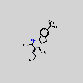 C=C/C(=C\CC)C(=C)NC1CCc2cc(C(=C)C)ccc21